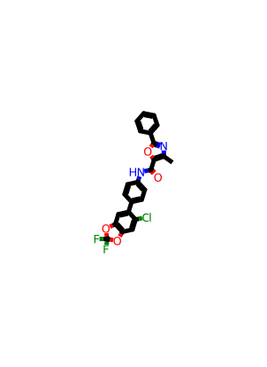 Cc1nc(-c2ccccc2)oc1C(=O)Nc1ccc(-c2cc3c(cc2Cl)OC(F)(F)O3)cc1